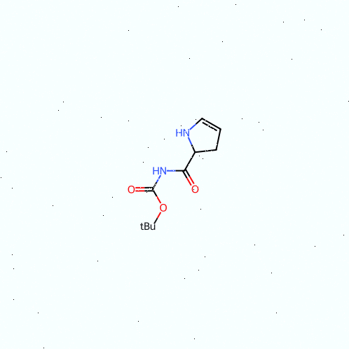 CC(C)(C)OC(=O)NC(=O)C1CC=CN1